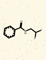 O=C(NCC(F)F)c1ccccc1